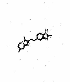 Cc1ccn2c(C)c(CCc3ccc4[nH]c(C)nc4c3)nc2c1